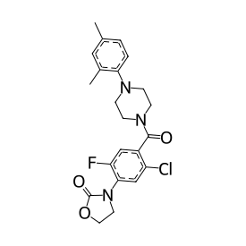 Cc1ccc(N2CCN(C(=O)c3cc(F)c(N4CCOC4=O)cc3Cl)CC2)c(C)c1